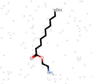 CCCCCCCCCCCCCCCCC(=O)OCCN